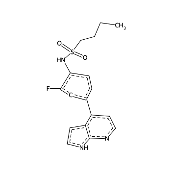 CCCCS(=O)(=O)Nc1ccc(-c2ccnc3[nH]ccc23)cc1F